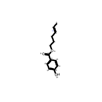 C/C=C/CCCOC(=O)c1ccc(O)cc1